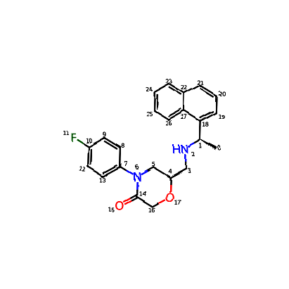 C[C@@H](NCC1CN(c2ccc(F)cc2)C(=O)CO1)c1cccc2ccccc12